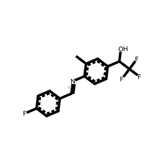 Cc1cc(C(O)C(F)(F)F)ccc1/N=C/c1ccc(F)cc1